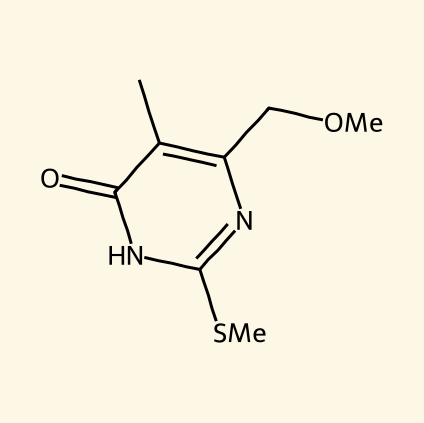 COCc1nc(SC)[nH]c(=O)c1C